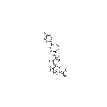 Cc1ccc(N2CCCN(C(C)(C)C(=O)NC3C4CC5CC3CC(C(N)=O)(C5)C4)CC2)cn1